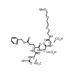 CCCC(=O)N[C@@H](CC(=O)O)C(=O)N[C@@H](CCC(=O)OCc1ccccc1)C(=O)N[C@@H](CC(=O)O)C(=O)N[C@@H](CC(=O)O)C(=O)NCCOCCOCCOC